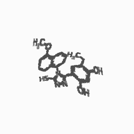 CCc1cc(-c2nnc(S)n2-c2cccc3c(OC)cccc23)c(O)cc1O